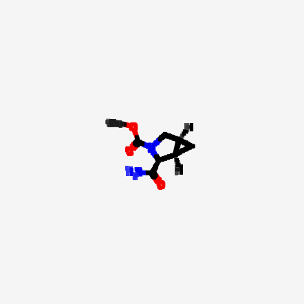 CC(C)(C)OC(=O)N1C[C@H]2C[C@H]2[C@H]1C(N)=O